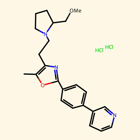 COCC1CCCN1CCc1nc(-c2ccc(-c3cccnc3)cc2)oc1C.Cl.Cl